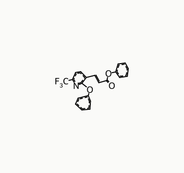 O=C(C=Cc1ccc(C(F)(F)F)nc1Oc1ccccc1)Oc1ccccc1